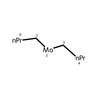 CCC[CH2][Mo][CH2]CCC